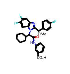 COC(c1ccc(F)cc1)c1nc2cc(F)c(F)cc2n1C(C(=O)Nc1cccc(C(=O)O)c1)C1CCCCC1